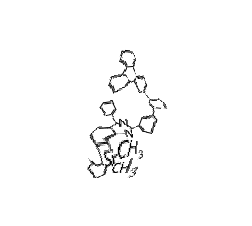 C[Si]1(C)c2ccccc2-c2ccc3c(-c4ccccc4)nc(-c4cccc(-c5cccc(-c6ccc7c8ccccc8c8ccccc8c7c6)c5)c4)nc3c21